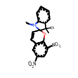 CCC1(C)c2ccccc2N(C)C12C=Cc1cc([N+](=O)[O-])cc([N+](=O)[O-])c1O2